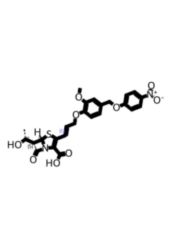 COc1cc(COc2ccc([N+](=O)[O-])cc2)ccc1OC/C=C/C1=C(C(=O)O)N2C(=O)[C@H]([C@@H](C)O)[C@H]2S1